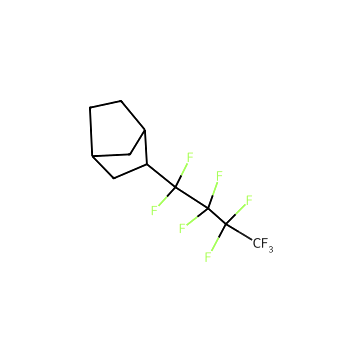 FC(F)(F)C(F)(F)C(F)(F)C(F)(F)C1CC2CCC1C2